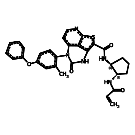 C=CC(=O)N[C@H]1CCC[C@@H]1NC(=O)c1sc2nccc3c2c1NC(=O)N3c1ccc(Oc2ccccc2)cc1C